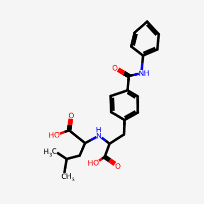 CC(C)CC(NC(Cc1ccc(C(=O)Nc2ccccc2)cc1)C(=O)O)C(=O)O